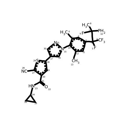 Cc1cc(C(F)(C(F)(F)F)C(C)(F)P)cc(C)c1-n1cc(-c2cc(C(=O)NC3CC3)c(C#N)s2)cn1